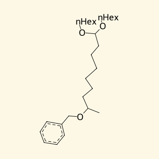 CCCCCCOC(CCCCCCC(C)OCc1ccccc1)OCCCCCC